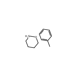 C1CC[SiH2]OC1.Cc1ccccc1